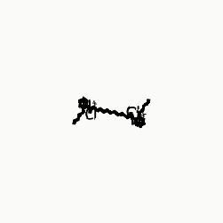 CCCCCc1cccc[n+]1C(Cl)CCCCCCCCCCC(Cl)[n+]1ccccc1CCCCC